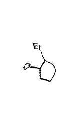 CCC1CCCCC1[O]